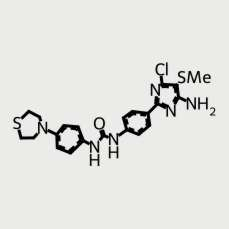 CSc1c(N)nc(-c2ccc(NC(=O)Nc3ccc(N4CCSCC4)cc3)cc2)nc1Cl